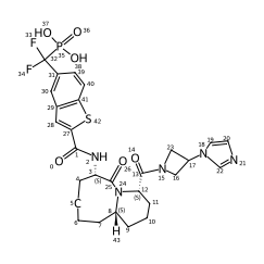 O=C(N[C@H]1CCCC[C@H]2CCC[C@@H](C(=O)N3CC(n4ccnc4)C3)N2C1=O)c1cc2cc(C(F)(F)P(=O)(O)O)ccc2s1